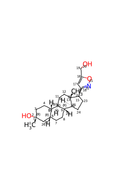 C[C@@]1(O)CC[C@H]2[C@H](CC[C@@H]3[C@@H]2CC[C@]2(C)[C@@H](c4cc(CO)on4)CC[C@@H]32)C1